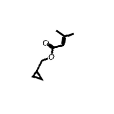 CC(C)=CC(=O)OCC1CC1